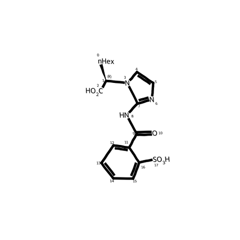 CCCCCC[C@H](C(=O)O)n1ccnc1NC(=O)c1ccccc1S(=O)(=O)O